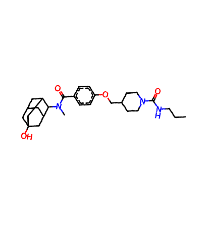 CCCNC(=O)N1CCC(COc2ccc(C(=O)N(C)C3C4CC5CC3CC(O)(C5)C4)cc2)CC1